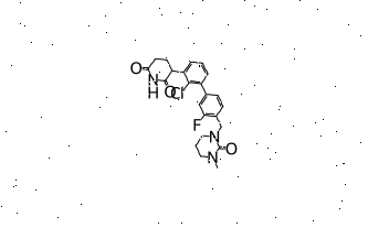 CN1CCCN(Cc2ccc(-c3cccc(C4CCC(=O)NC4=O)c3Cl)cc2F)C1=O